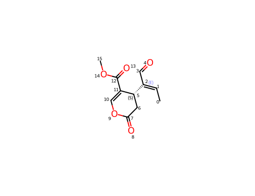 C/C=C(/C=O)[C@@H]1CC(=O)OC=C1C(=O)OC